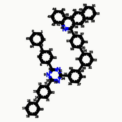 c1ccc(-c2ccc(-c3nc(-c4ccc(-c5ccccc5)cc4)nc(-c4cccc(-c5cccc(-c6ccc(-c7nc8ccccc8c8cc9ccccc9cc78)cc6)c5)c4)n3)cc2)cc1